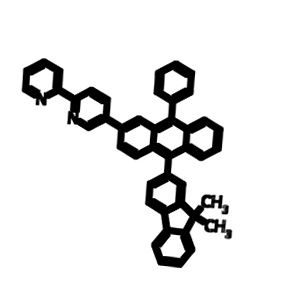 CC1(C)c2ccccc2-c2ccc(-c3c4ccccc4c(-c4ccccc4)c4cc(-c5ccc(-c6ccccn6)nc5)ccc34)cc21